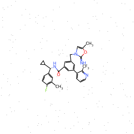 Cc1cn(Cc2cc(C(=O)N[C@H](c3ccc(F)c(C)c3)C3CC3)cc(-c3cccnc3C(F)(F)F)c2)c(=N)o1